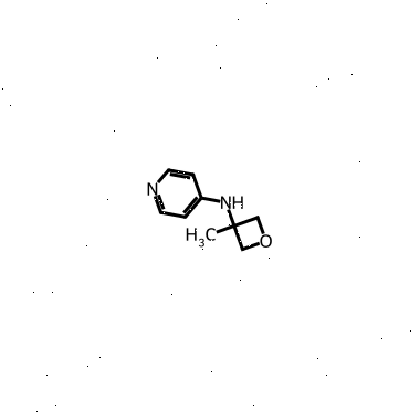 CC1(Nc2ccncc2)COC1